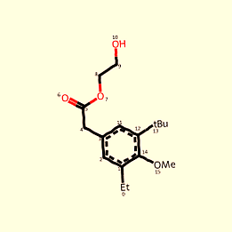 CCc1cc(CC(=O)OCCO)cc(C(C)(C)C)c1OC